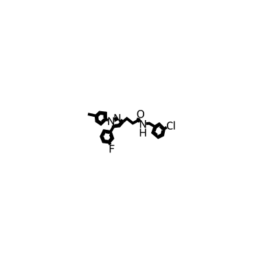 Cc1ccc(-n2nc(CCC(=O)NCc3cccc(Cl)c3)cc2-c2cccc(F)c2)cc1